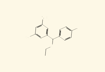 CCOC(c1ccc(F)cc1)c1cc(N)cc(Br)c1